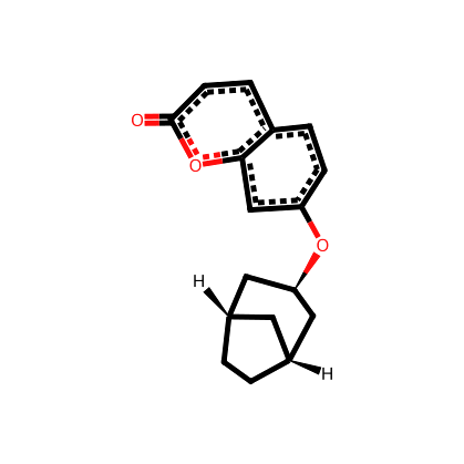 O=c1ccc2ccc(O[C@H]3C[C@@H]4CC[C@@H](C4)C3)cc2o1